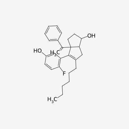 C=C(c1ccccc1)C12CCC(O)C1CC(CCCCCC)=C2c1cc(O)ccc1F